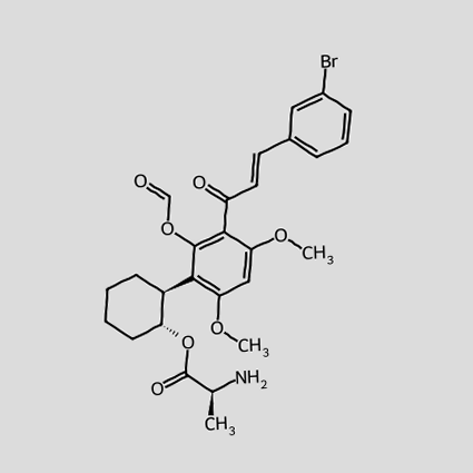 COc1cc(OC)c([C@@H]2CCCC[C@H]2OC(=O)[C@H](C)N)c(OC=O)c1C(=O)C=Cc1cccc(Br)c1